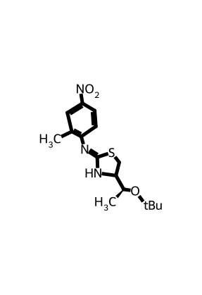 Cc1cc([N+](=O)[O-])ccc1/N=C1/NC([C@H](C)OC(C)(C)C)CS1